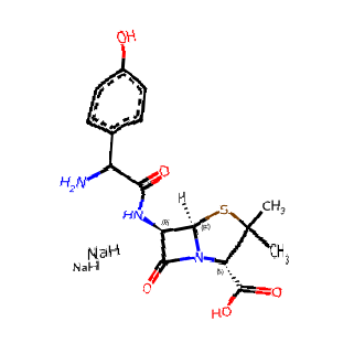 CC1(C)S[C@@H]2[C@H](NC(=O)C(N)c3ccc(O)cc3)C(=O)N2[C@H]1C(=O)O.[NaH].[NaH]